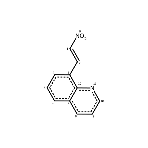 O=[N+]([O-])/C=C/c1cccc2cccnc12